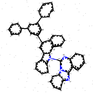 c1ccc(-c2cc(-c3ccccc3)cc(-c3cc4c5ccccc5n(-c5nc6ccccc6c6nc7ccccc7n56)c4c4ccccc34)c2)cc1